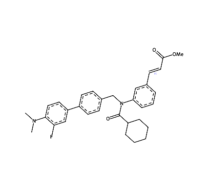 COC(=O)/C=C/c1cccc(N(Cc2ccc(-c3ccc(N(C)C)c(F)c3)cc2)C(=O)C2CCCCC2)c1